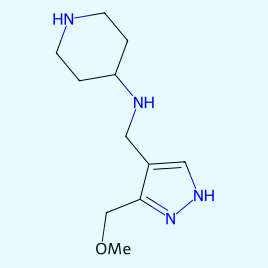 COCc1n[nH]cc1CNC1CCNCC1